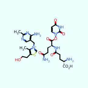 Cc1ncc(C[n+]2csc(CCO)c2C)c(N)n1.NC(=O)CC[C@H](NC(=O)CC[C@H](N)C(=O)O)C(=O)On1ccc(=O)[nH]c1=O